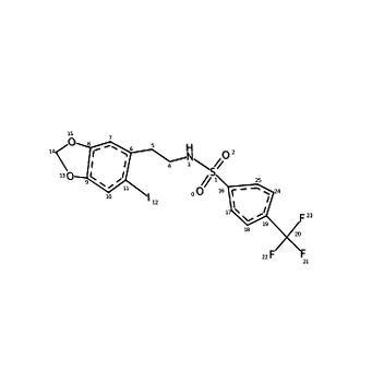 O=S(=O)(NCCc1cc2c(cc1I)OCO2)c1ccc(C(F)(F)F)cc1